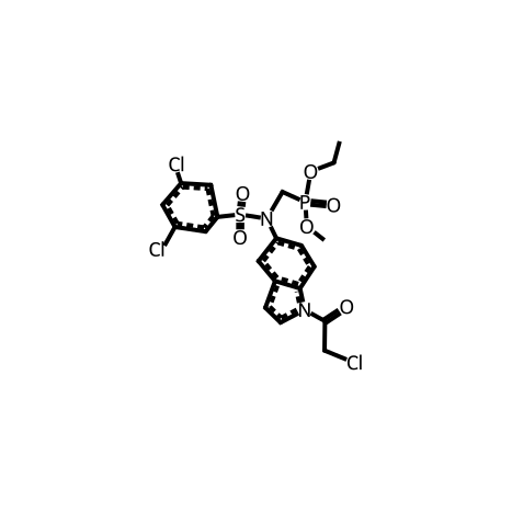 CCOP(=O)(CN(c1ccc2c(ccn2C(=O)CCl)c1)S(=O)(=O)c1cc(Cl)cc(Cl)c1)OC